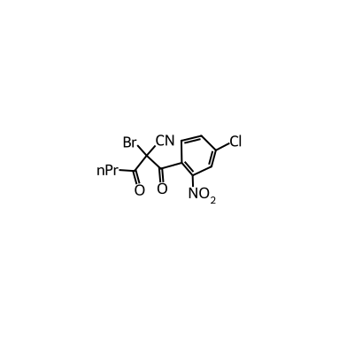 CCCC(=O)C(Br)(C#N)C(=O)c1ccc(Cl)cc1[N+](=O)[O-]